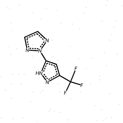 FC(F)(F)c1cc(-n2nccn2)[nH]n1